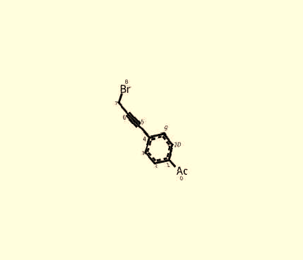 CC(=O)c1ccc(C#CCBr)cc1